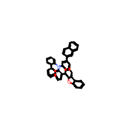 c1ccc(-c2ccccc2N(c2cccc(-c3ccc4ccccc4c3)c2)c2ccccc2-c2cccc3c2oc2ccccc23)cc1